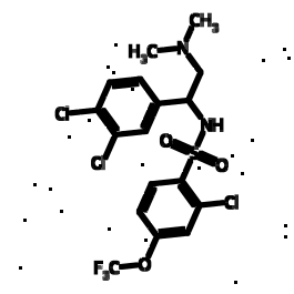 CN(C)CC(NS(=O)(=O)c1ccc(OC(F)(F)F)cc1Cl)c1ccc(Cl)c(Cl)c1